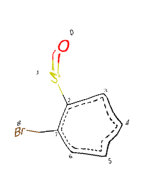 O=[S+]c1ccccc1Br